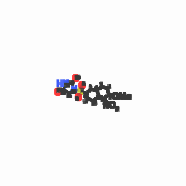 COc1ccc2cc(S(=O)(=O)N3CC(=O)NC3=O)ccc2c1[N+](=O)[O-]